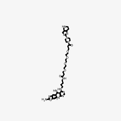 N=C(c1ccc2oc(N)nc2c1)c1c(N)ncnc1NCCCCNC(=O)CCOCCOCCOCCOCCC(=O)N1CCN(c2ncc3c(n2)CCNC3)CC1